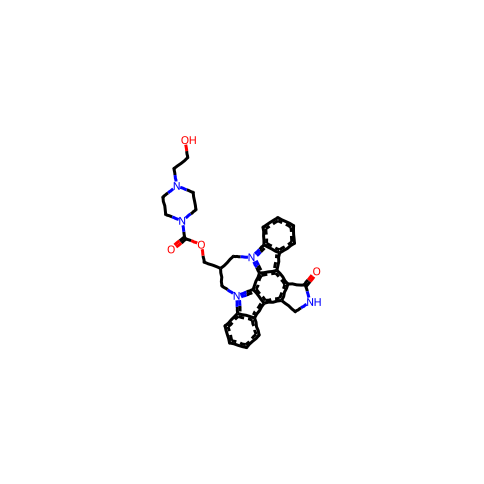 O=C1NCc2c1c1c3ccccc3n3c1c1c2c2ccccc2n1CC(COC(=O)N1CCN(CCO)CC1)C3